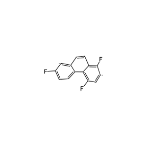 Fc1[c]c2ccc3c(F)[c]cc(F)c3c2cc1